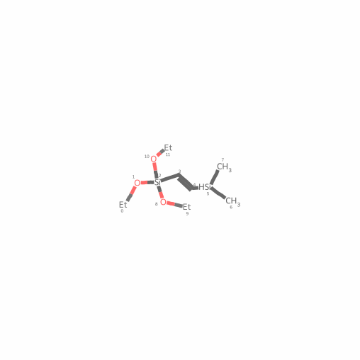 CCO[Si](C=C[SiH](C)C)(OCC)OCC